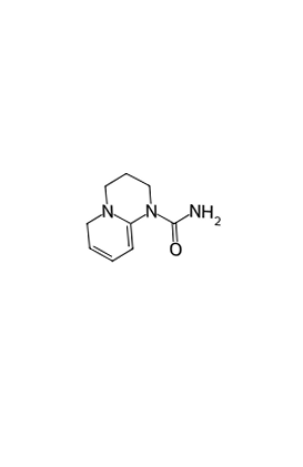 NC(=O)N1CCCN2CC=CC=C21